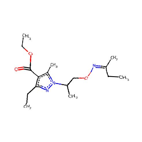 CCOC(=O)c1c(CC)nn(C(C)CON=C(C)CC)c1C